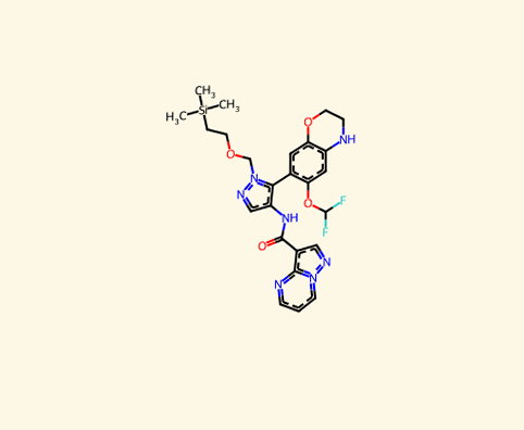 C[Si](C)(C)CCOCn1ncc(NC(=O)c2cnn3cccnc23)c1-c1cc2c(cc1OC(F)F)NCCO2